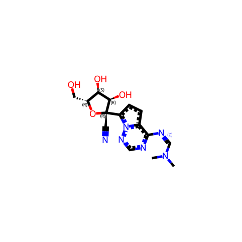 CN(C)/C=N\c1ncnn2c([C@]3(C#N)O[C@H](CO)[C@@H](O)[C@H]3O)ccc12